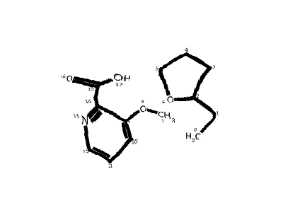 CCC1CCCO1.COc1cccnc1C(=O)O